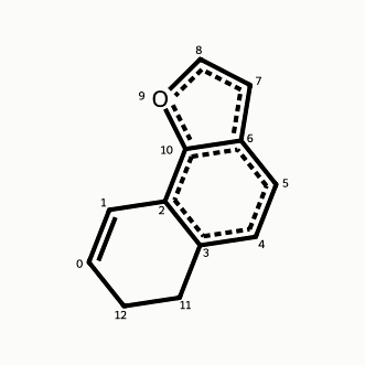 C1=Cc2c(ccc3ccoc23)CC1